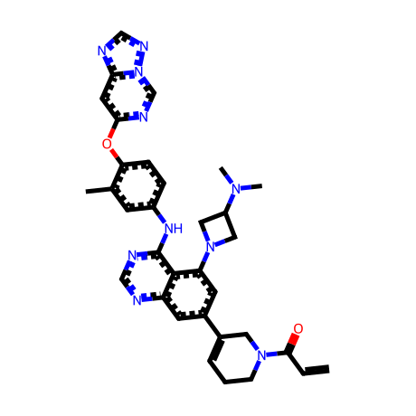 C=CC(=O)N1CCC=C(c2cc(N3CC(N(C)C)C3)c3c(Nc4ccc(Oc5cc6ncnn6cn5)c(C)c4)ncnc3c2)C1